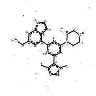 Cc1nnn(C)c1-c1cc(N2CCOC[C@H]2C)nc(-c2cc(CO)cc3[nH]ccc23)n1